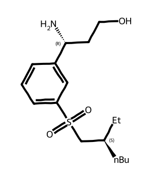 CCCC[C@H](CC)CS(=O)(=O)c1cccc([C@H](N)CCO)c1